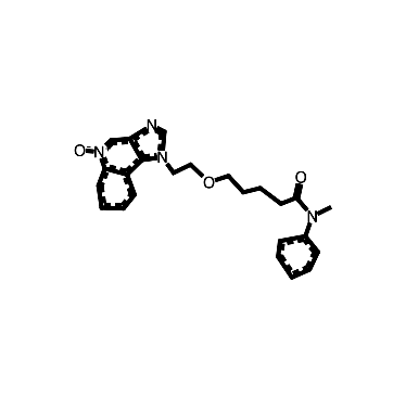 CN(C(=O)CCCCOCCn1cnc2c[n+]([O-])c3ccccc3c21)c1ccccc1